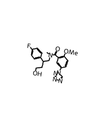 COc1ccc(-n2cnnn2)cc1C(=O)N(C)CC(CCO)c1ccc(F)cc1